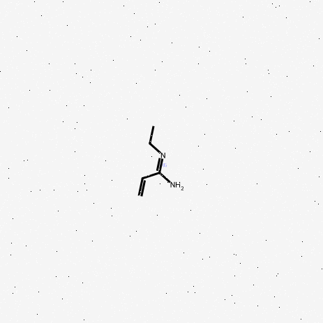 C=C/C(N)=N\CC